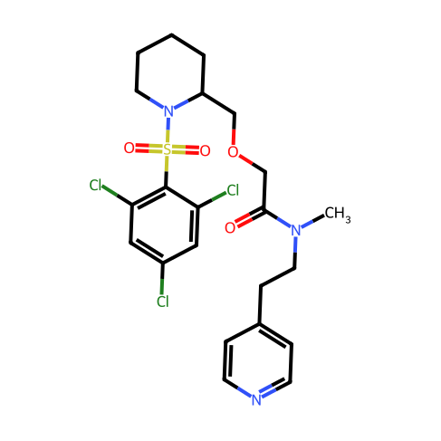 CN(CCc1ccncc1)C(=O)COCC1CCCCN1S(=O)(=O)c1c(Cl)cc(Cl)cc1Cl